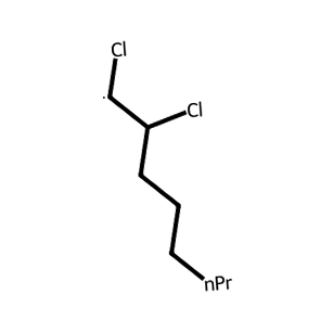 CCCCCCC(Cl)[CH]Cl